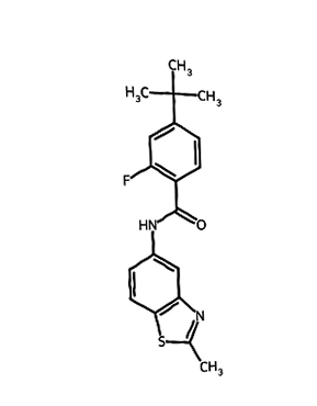 Cc1nc2cc(NC(=O)c3ccc(C(C)(C)C)cc3F)ccc2s1